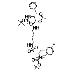 CC(=O)O[C@H](C(=O)NCCCCNS(=O)(=O)CC(Cc1cc(F)ccc1F)NC(=O)OC(C)(C)C)[C@@H](Cc1ccccc1)NC(=O)OC(C)(C)C